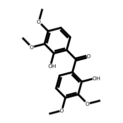 COc1ccc(C(=O)c2ccc(OC)c(OC)c2O)c(O)c1OC